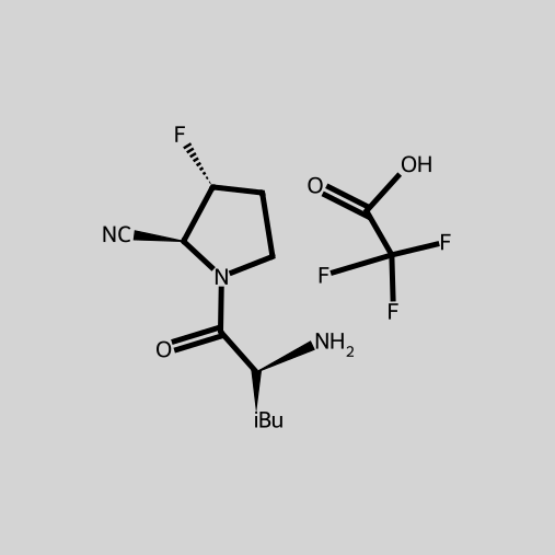 CC[C@H](C)[C@H](N)C(=O)N1CC[C@@H](F)[C@@H]1C#N.O=C(O)C(F)(F)F